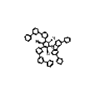 N#Cc1c(-c2cccc(-c3cccc(-c4ccccc4)c3)c2)c(C#N)c(-n2c3ccc(-c4ccccc4)cc3c3cc(-c4ccccc4)ccc32)c(C#N)c1-c1cccc(-c2cccc(-c3ccccc3)c2)c1